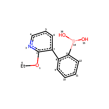 CCOc1ncccc1-c1ccccc1B(O)O